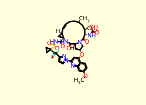 COc1ccc2c(O[C@@H]3C[C@H]4C(=O)N[C@]5(C(=O)NS(=O)(=O)C6(CF)CC6)C[C@H]5/C=C\CC[C@@H](C)C[C@@H](C)[C@H](NC(=O)O)C(=O)N4C3)cc(-n3ccc(C(F)(F)F)n3)nc2c1